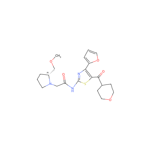 COC[C@H]1CCCN1CC(=O)Nc1nc(-c2ccco2)c(C(=O)C2CCOCC2)s1